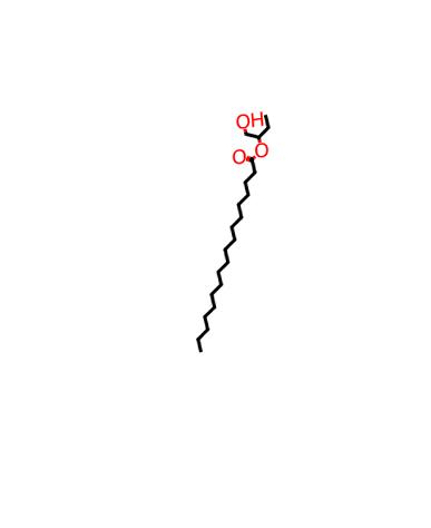 CCCCCCCCCCCCCCCCCC(=O)OC(CC)CO